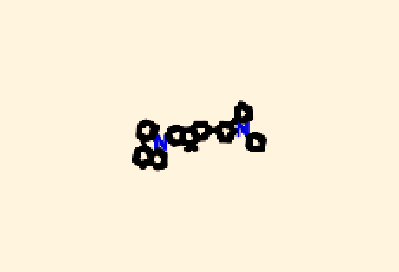 CC1(C)c2cc(-c3ccc4c(c3)c3ccccc3n4-c3ccccc3)ccc2C2C=CC(N(c3ccccc3)c3cccc4ccccc34)=CC21